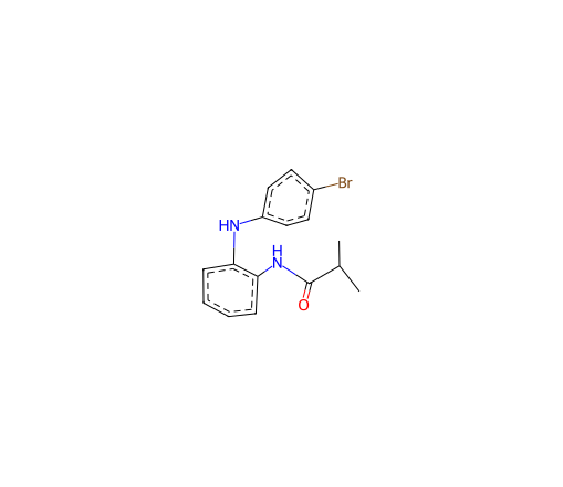 CC(C)C(=O)Nc1ccccc1Nc1ccc(Br)cc1